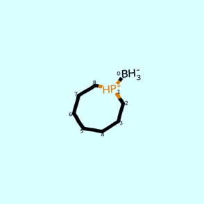 [BH3-][PH+]1CCCCCCC1